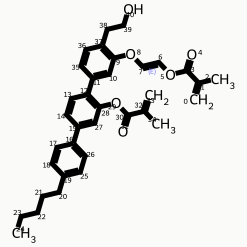 C=C(C)C(=O)O/C=C/Oc1cc(-c2ccc(-c3ccc(CCCCC)cc3)cc2OC(=O)C(=C)C)ccc1CCO